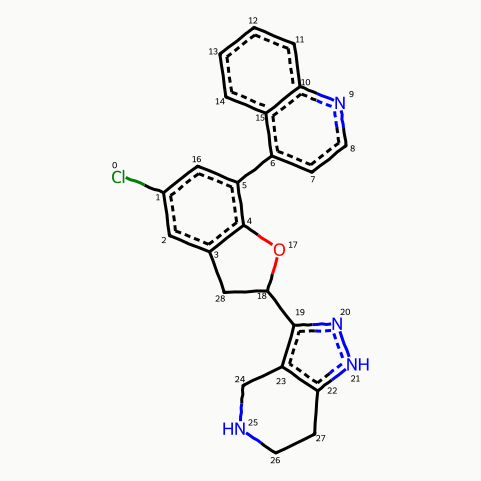 Clc1cc2c(c(-c3ccnc4ccccc34)c1)OC(c1n[nH]c3c1CNCC3)C2